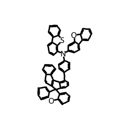 c1ccc2c(c1)Oc1ccccc1C21c2cccc(-c3ccc(N(c4ccc5c(c4)oc4ccccc45)c4cccc5c4sc4ccccc45)cc3)c2-c2c1ccc1ccccc21